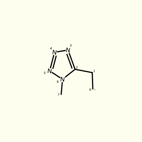 [CH2]Cc1nnnn1C